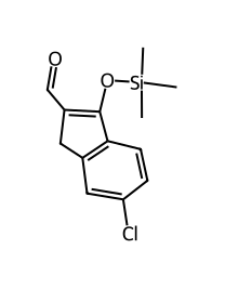 C[Si](C)(C)OC1=C(C=O)Cc2cc(Cl)ccc21